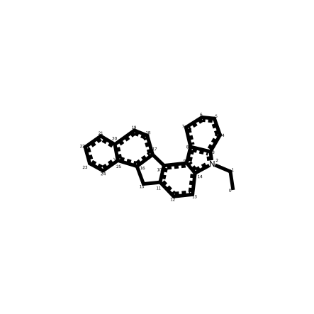 CCn1c2ccccc2c2c3c(ccc21)Cc1c-3ccc2ccccc12